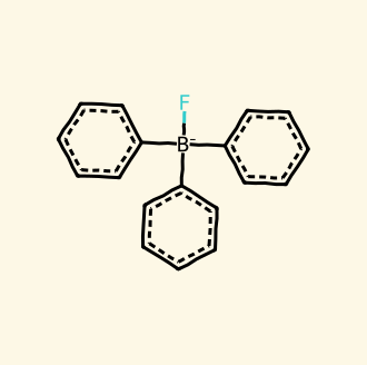 F[B-](c1ccccc1)(c1ccccc1)c1ccccc1